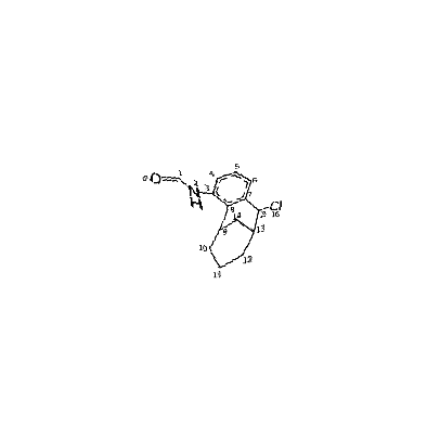 O=CNc1cccc2c1C1CCCC(C1)C2Cl